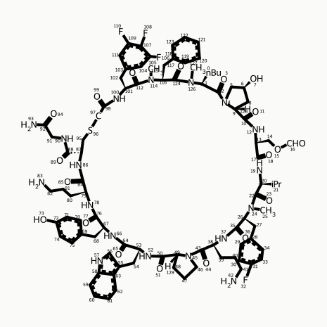 CCCC[C@H]1C(=O)N2C[C@@H](O)C[C@@H]2C(=O)N[C@@H](COC=O)C(=O)N[C@@H](C(C)C)C(=O)N(C)[C@@H](Cc2ccc(F)cc2)C(=O)N[C@@H](CCCN)C(=O)N2CCC[C@@H]2C(=O)N[C@@H](Cc2c[nH]c3ccccc23)C(=O)N[C@@H](Cc2ccc(O)cc2)C(=O)N[C@@H](CCCN)C(=O)N[C@H](C(=O)NCC(N)=O)CSCC(=O)N[C@@H](Cc2cc(F)c(F)c(F)c2)C(=O)N(C)[C@@H](Cc2ccccc2)C(=O)N1C